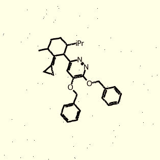 CC1CCC(C(C)C)C(c2cc(OCc3ccccc3)c(OCc3ccccc3)nn2)C1=C1CC1